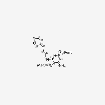 CCC[C@H](C)Oc1nc(N)c2nc(OC)n(CCCCC3CCCOC3)c2n1